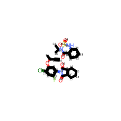 C#CC(C)Oc1cc(N2C(=O)C3=C(CCCC3)C2=O)c(F)cc1Cl.CC(C)N1C(=O)c2ccccc2NS1(=O)=O